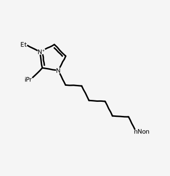 CCCCCCCCCCCCCCCn1cc[n+](CC)c1C(C)C